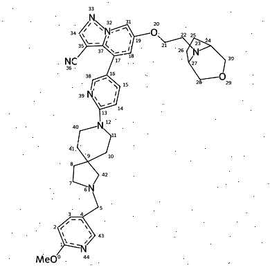 COc1ccc(CN2CCC3(CCN(c4ccc(-c5cc(OCCN6C7CCC6COC7)cn6ncc(C#N)c56)cn4)CC3)C2)cn1